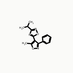 Cc1onc(-c2ccccc2)c1-c1nc(C(C)C)no1